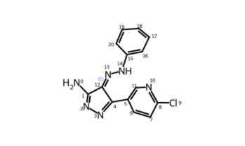 NC1=NN=C(c2ccc(Cl)nc2)/C1=N\Nc1ccccc1